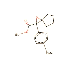 COc1ccc(C2(C(=O)OC(C)(C)C)OC23CCCC3)cc1